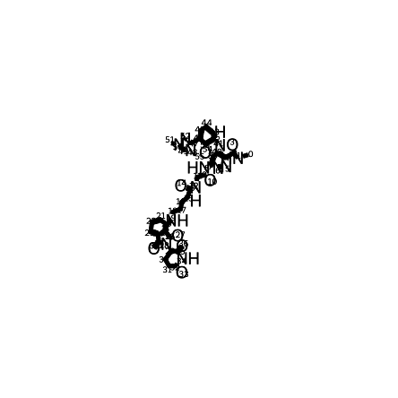 CNC(=O)c1nnc(NC(=O)CNC(=O)CCCCNc2cccc3c2C(=O)N(C2CCC(=O)NC2=O)C3=O)cc1Nc1cccc(-c2ncn(C)n2)c1OC